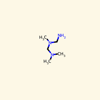 CN(C)CN(C)CN